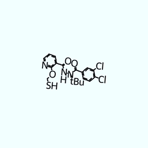 CC(C)(C)N(NC(=O)c1cccnc1OCS)C(=O)c1ccc(Cl)c(Cl)c1